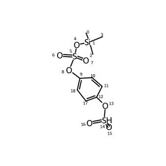 C[Si](C)(C)OS(=O)(=O)Oc1ccc(O[SH](=O)=O)cc1